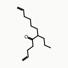 C=CCCCCC(CCC)C(=O)CCC=C